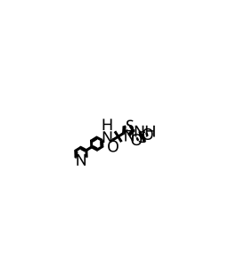 CC(C)(C(=O)Nc1ccc(-c2cccnc2)cc1)c1csc(NS(C)(=O)=O)n1